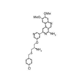 COc1cc2ncc3c(N)nc(-c4cncc(OC[C@@H](N)CSCc5ccc(Cl)cc5)c4)cc3c2cc1OC